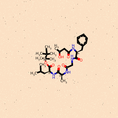 CC(C)C[C@H](NC(=O)[C@H](C)NC(=O)CNC(=O)[C@H](Cc1ccccc1)NC(=O)CC(C)O)C(=O)O[Si](C)(C)C(C)(C)C